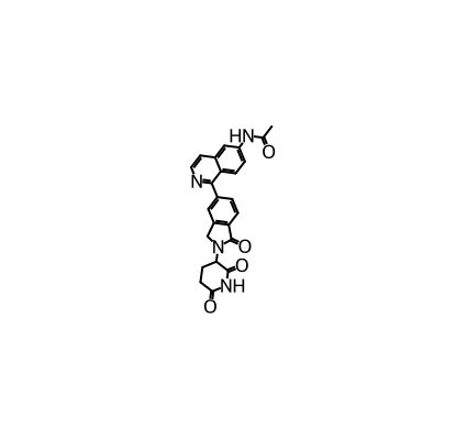 CC(=O)Nc1ccc2c(-c3ccc4c(c3)CN(C3CCC(=O)NC3=O)C4=O)nccc2c1